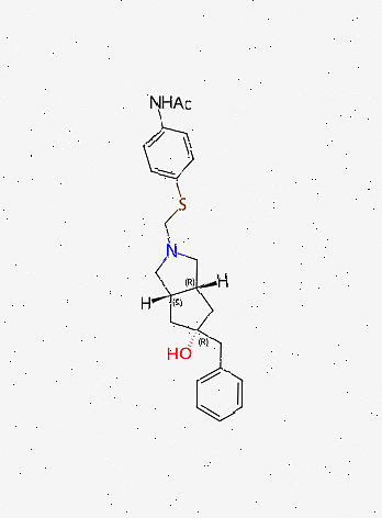 CC(=O)Nc1ccc(SCN2C[C@@H]3C[C@@](O)(Cc4ccccc4)C[C@@H]3C2)cc1